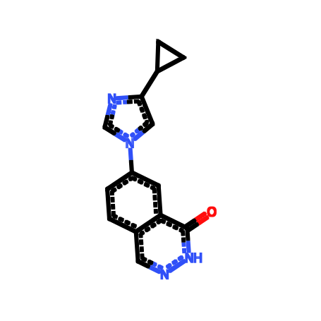 O=c1[nH]ncc2ccc(-n3cnc(C4CC4)c3)cc12